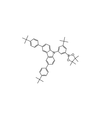 CC(C)(C)c1ccc(-c2ccc3c(c2)c2cc(-c4ccc(C(C)(C)C)cc4)ccc2n3-c2cc(B3OC(C)(C)C(C)(C)O3)cc(C(C)(C)C)c2)cc1